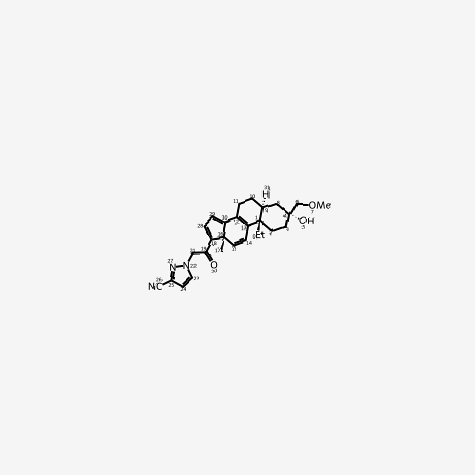 CC[C@]12CC[C@](O)(COC)C[C@@H]1CCC1=C2C=C[C@]2(C)C(C(=O)Cn3ccc(C#N)n3)=CC=C12